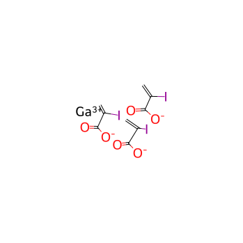 C=C(I)C(=O)[O-].C=C(I)C(=O)[O-].C=C(I)C(=O)[O-].[Ga+3]